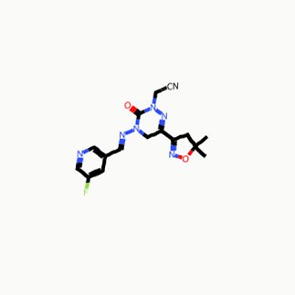 CC1(C)CC(C2=NN(CC#N)C(=O)N(N=Cc3cncc(F)c3)C2)=NO1